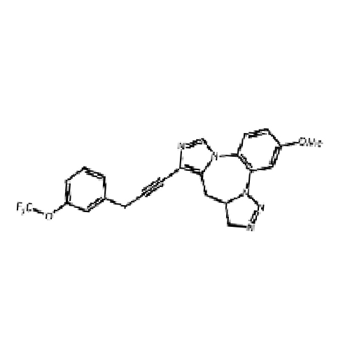 COc1ccc2c(c1)N1N=NCC1Cc1c(C#CCc3cccc(OC(F)(F)F)c3)ncn1-2